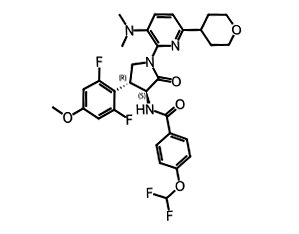 COc1cc(F)c([C@@H]2CN(c3nc(C4CCOCC4)ccc3N(C)C)C(=O)[C@H]2NC(=O)c2ccc(OC(F)F)cc2)c(F)c1